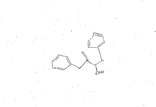 O=[C]C(Oc1ccccc1)C(=O)Cc1ccccc1